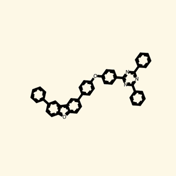 c1ccc(-c2ccc3oc4ccc(-c5ccc(Oc6ccc(-c7nc(-c8ccccc8)nc(-c8ccccc8)n7)cc6)cc5)cc4c3c2)cc1